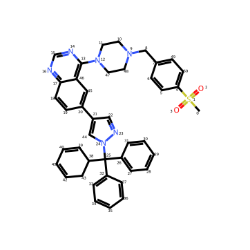 CS(=O)(=O)c1ccc(CN2CCN(c3ncnc4ccc(-c5cnn(C(c6ccccc6)(c6ccccc6)C6C=CC=CC6)c5)cc34)CC2)cc1